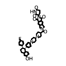 O=C1CC[C@@H](N2C(=O)c3cc4c(cc3C2=O)CN(C(=O)C2CCN(C3CCN(c5ccc([C@@H]6c7ccc(O)cc7CC[C@@H]6c6ccc(F)cc6)cc5)CC3)CC2)C4)C(=O)N1